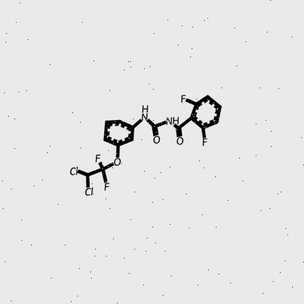 O=C(NC(=O)c1c(F)cccc1F)Nc1cccc(OC(F)(F)C(Cl)Cl)c1